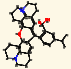 CC(C)c1ccc(C2=c3cc4c5c(c3Oc3c2cc2c6c3CCCN6CCC2)CCC[N+]=5CCC4)c(C(=O)O)c1